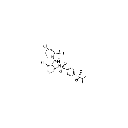 CC(C)S(=O)(=O)c1ccc(S(=O)(=O)n2nc(N3CCC(Cl)=C[C@H]3C(F)(F)F)c3c(Cl)cccc32)cc1